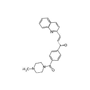 CN1CCN(C(=O)c2ccc(C(=O)C=Cc3ccc4ccccc4n3)cc2)CC1